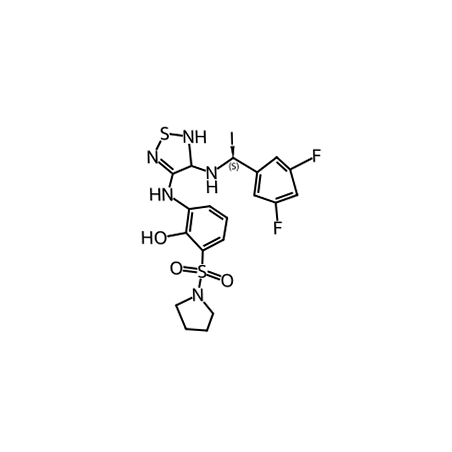 O=S(=O)(c1cccc(NC2=NSNC2N[C@@H](I)c2cc(F)cc(F)c2)c1O)N1CCCC1